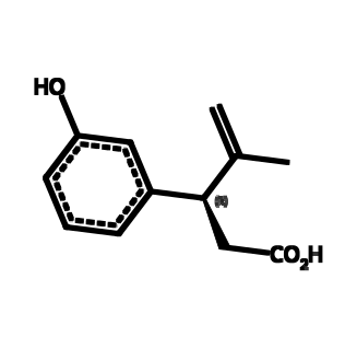 C=C(C)[C@@H](CC(=O)O)c1cccc(O)c1